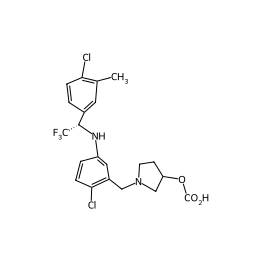 Cc1cc([C@H](Nc2ccc(Cl)c(CN3CCC(OC(=O)O)C3)c2)C(F)(F)F)ccc1Cl